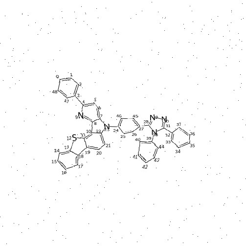 c1ccc(-c2ccc3c(n2)c2c4sc5ccccc5c4ccc2n3-c2ccc(-c3nnc(-c4ccccc4)n3-c3ccccc3)cc2)cc1